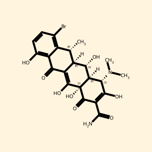 C[C@H]1c2c(Br)ccc(O)c2C(=O)C2=C(O)[C@]3(O)C(=O)C(C(N)=O)=C(O)[C@@H](N(C)C)[C@@H]3[C@@H](O)[C@@H]21